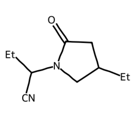 CCC1CC(=O)N(C(C#N)CC)C1